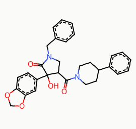 O=C(C1CN(Cc2ccccc2)C(=O)C1(O)c1ccc2c(c1)OCO2)N1CCC(c2ccccc2)CC1